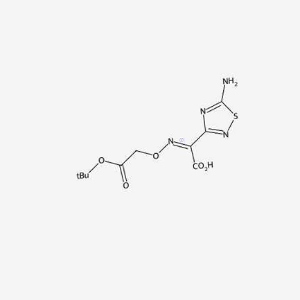 CC(C)(C)OC(=O)CO/N=C(\C(=O)O)c1nsc(N)n1